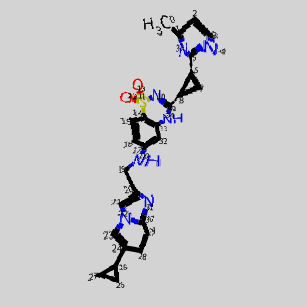 Cc1ccnc([C@H]2C[C@@H]2C2=NS(=O)(=O)c3ccc(NCc4cn5cc(C6CC6)ccc5n4)cc3N2)n1